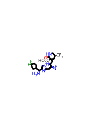 CN(C)c1cc2nc(C(N)C3CCC(F)(F)CC3)cn2nc1CC1(C(=O)O)C[C@@H](C(F)(F)F)CNC1=O